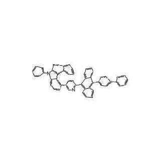 c1ccc(-c2ccc(-c3c4ccccc4c(-c4ccc(-c5cccc6c5c5c7ccccc7ccc5n6-c5ccccc5)cn4)c4ccccc34)cc2)cc1